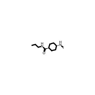 CCCNC(=O)[C@H]1CC[C@H](NI)CC1